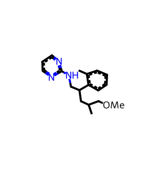 COCC(C)CC(CNc1ncccn1)c1ccccc1C